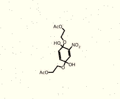 CC(=O)OCCOC1(O)C=CC(O)(OCCOC(C)=O)C([N+](=O)[O-])=C1